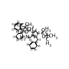 CC(C)(C)OC(=O)[C@H]1C[C@@H](CO[Si](c2ccccc2)(c2ccccc2)C(C)(C)C)[C@H](CN)N1Cc1ccccc1